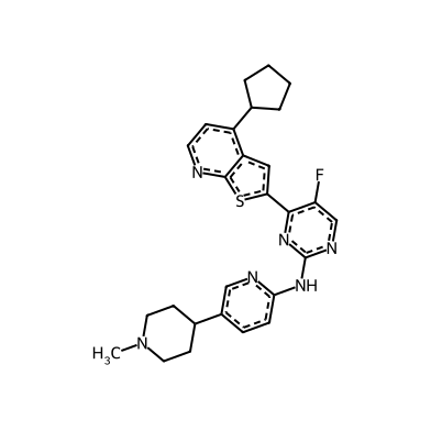 CN1CCC(c2ccc(Nc3ncc(F)c(-c4cc5c(C6CCCC6)ccnc5s4)n3)nc2)CC1